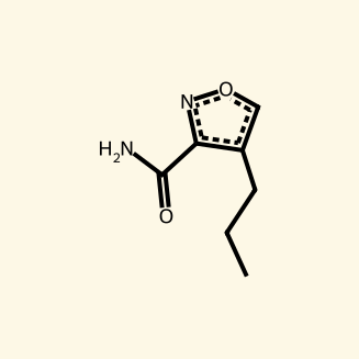 CCCc1conc1C(N)=O